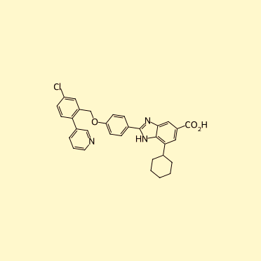 O=C(O)c1cc(C2CCCCC2)c2[nH]c(-c3ccc(OCc4cc(Cl)ccc4-c4cccnc4)cc3)nc2c1